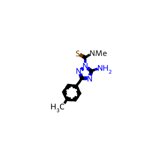 CNC(=S)n1nc(-c2ccc(C)cc2)nc1N